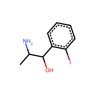 CC(N)C(O)c1ccccc1I